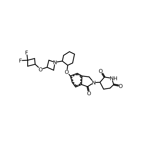 O=C1CCC(N2Cc3cc(OC4CCCCC4N4CC(OC5CC(F)(F)C5)C4)ccc3C2=O)C(=O)N1